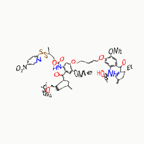 C=C1CC(C(=O)c2cc(OC)c(OCCCCCOc3cc(NC(=O)OC[C@H](C)SSc4ccc([N+](=O)[O-])cn4)c(C(=O)C4CC(=C)C[C@H]4CO[Si](C)(C)C(C)(C)C)cc3OC)cc2NB(C)O)[C@H](CC)C1